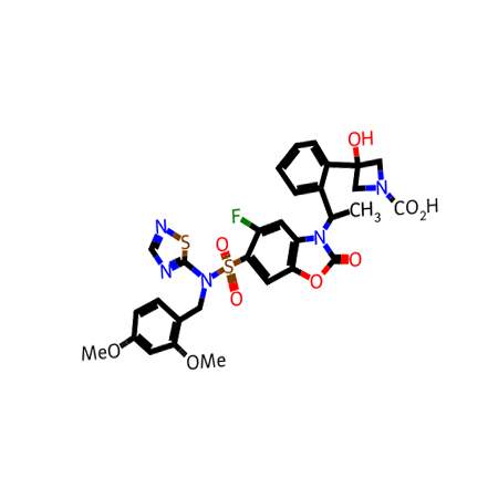 COc1ccc(CN(c2ncns2)S(=O)(=O)c2cc3oc(=O)n(C(C)c4ccccc4C4(O)CN(C(=O)O)C4)c3cc2F)c(OC)c1